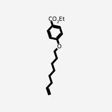 C=CCCCCCCOc1ccc(C(=O)OCC)cc1